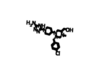 CN1C[C@H](Cc2ccc(Cl)cc2)N(C2CCN(c3nnc(N)[nH]3)CC2)CC1CO